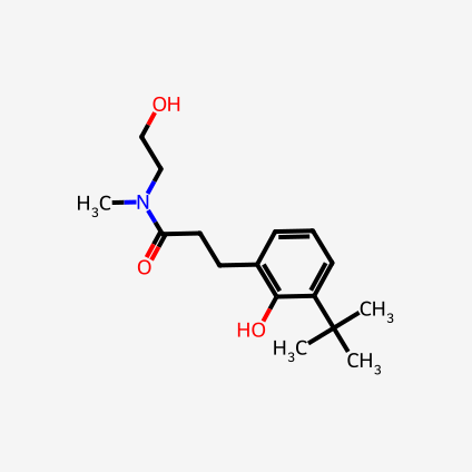 CN(CCO)C(=O)CCc1cccc(C(C)(C)C)c1O